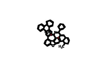 CC1CC=CC2C=C(/C(=N\C(=N/N)c3cccc4oc5cccc(-c6ccc7c8ccccc8c8ccccc8c7c6)c5c34)c3ccccc3)C=CC21